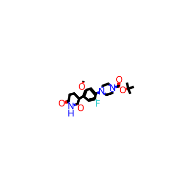 COc1cc(N2CCN(C(=O)OC(C)(C)C)CC2)c(F)cc1C1CCC(=O)NC1=O